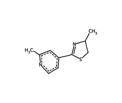 Cc1cc(C2=NC(C)CS2)ccn1